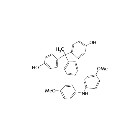 CC(c1ccccc1)(c1ccc(O)cc1)c1ccc(O)cc1.COc1ccc(Nc2ccc(OC)cc2)cc1